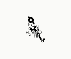 Cc1ccc(COc2nsc(NC(=O)NCCN(C)C)c2C(N)=O)c(F)c1